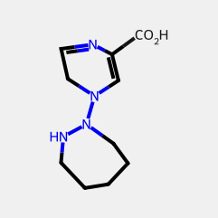 O=C(O)C1=CN(N2CCCCCN2)CC=N1